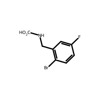 O=C(O)NCc1cc(F)ccc1Br